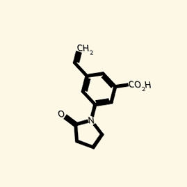 C=Cc1cc(C(=O)O)cc(N2CCCC2=O)c1